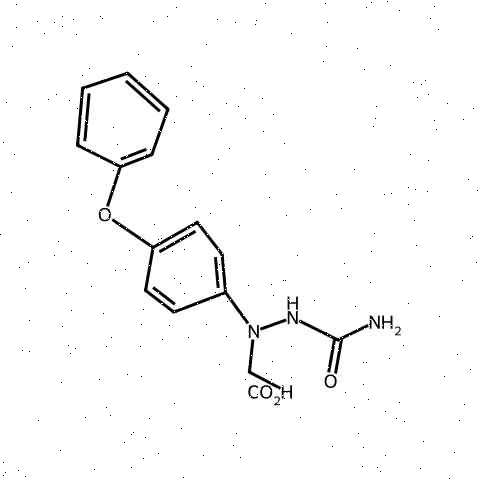 NC(=O)NN(CC(=O)O)c1ccc(Oc2ccccc2)cc1